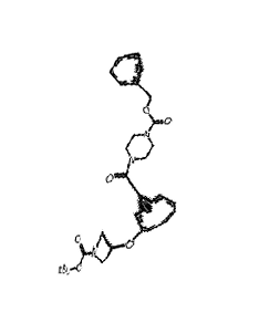 CC(C)(C)OC(=O)N1CC(Oc2cccc(C(=O)N3CCN(C(=O)OCc4ccccc4)CC3)c2)C1